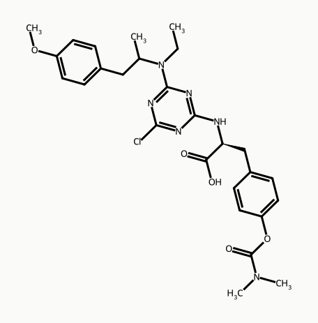 CCN(c1nc(Cl)nc(N[C@@H](Cc2ccc(OC(=O)N(C)C)cc2)C(=O)O)n1)C(C)Cc1ccc(OC)cc1